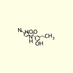 CCCc1cc(O)cc(C(Nc2ccc(C#N)cc2)C(=O)O)c1